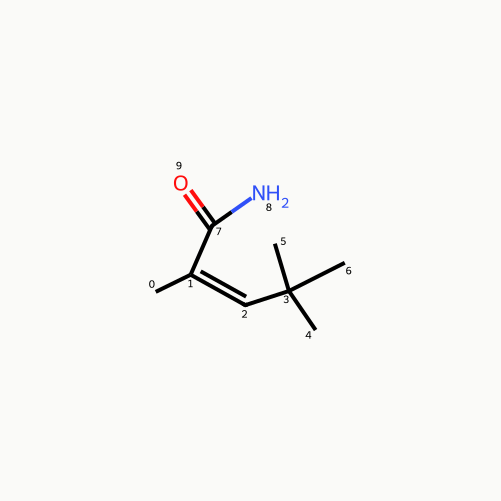 CC(=CC(C)(C)C)C(N)=O